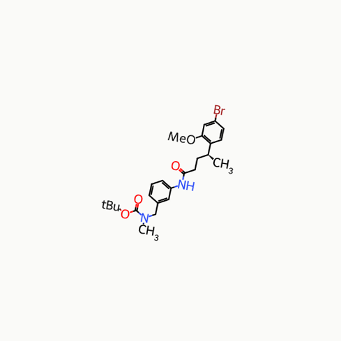 COc1cc(Br)ccc1[C@@H](C)CCC(=O)Nc1cccc(CN(C)C(=O)OC(C)(C)C)c1